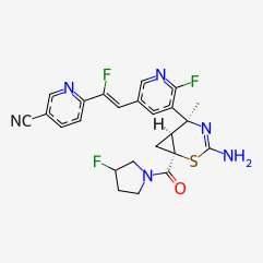 C[C@]1(c2cc(/C=C(\F)c3ccc(C#N)cn3)cnc2F)N=C(N)S[C@@]2(C(=O)N3CCC(F)C3)C[C@H]21